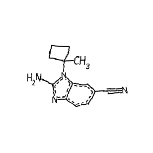 CC1(n2c(N)nc3ccc(C#N)cc32)CCC1